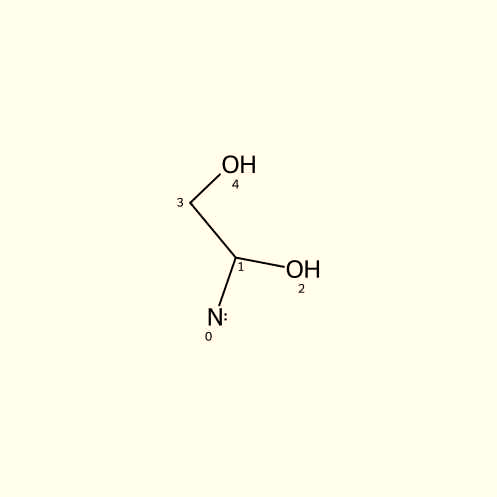 [N]C(O)CO